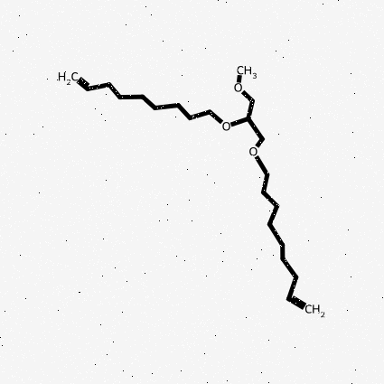 C=CCCCCCCCOCC(COC)OCCCCCCCC=C